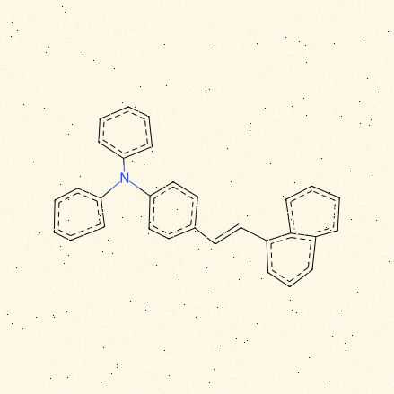 C(=Cc1cccc2ccccc12)c1ccc(N(c2ccccc2)c2ccccc2)cc1